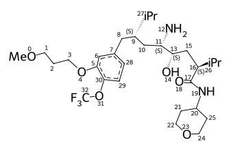 COCCCOc1cc(C[C@@H](C[C@H](N)[C@@H](O)C[C@H](C(=O)NC2CCOCC2)C(C)C)C(C)C)ccc1OC(F)(F)F